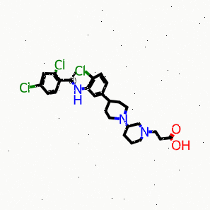 C[C@@H](Nc1cc(C2CCN(C3CCCN(CCC(=O)O)C3)CC2)ccc1Cl)c1ccc(Cl)cc1Cl